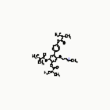 C=C(C)C(=O)Oc1ccc(-c2cc(OC(=O)C(=C)C)c(OC(=O)C(=C)C)cc2OC/C=C/C)cc1